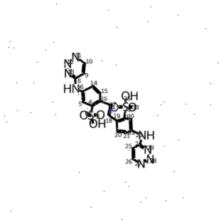 O=S(=O)(O)c1cc(Nc2ccnnn2)ccc1/C=C/c1ccc(Nc2ccnnn2)cc1S(=O)(=O)O